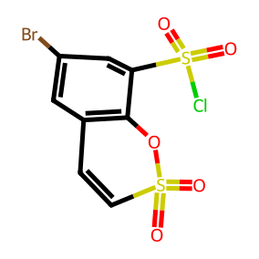 O=S1(=O)C=Cc2cc(Br)cc(S(=O)(=O)Cl)c2O1